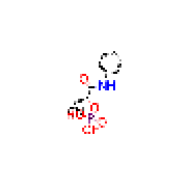 N#CC=C(OP(=O)(O)O)C(=O)Nc1ccccc1